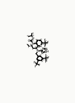 CC[C@@H]1C[C@H](N(Cc2cc(C(F)(F)F)cc(C(F)(F)F)c2)c2nn[nH]n2)c2nc(C(F)(F)F)ccc2N1C(=O)OC(C)C